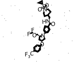 O=C(NCC1CCN(S(=O)(=O)C2CC2)CC1)c1ccc(N2C[C@@H](Oc3ccc(C(F)(F)F)cc3)C[C@H]2COC(F)F)cc1